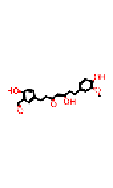 COc1cc(CC/C(O)=C/C(=O)CCc2ccc(O)c(C=O)c2)ccc1O